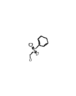 O=S(=O)(CCl)C1=CCCC=C1